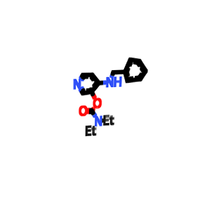 CCN(CC)C(=O)Oc1cnccc1NCc1ccccc1